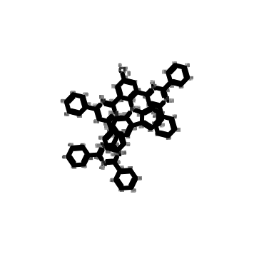 FC(F)(F)c1cc(-c2cc(-c3ccccc3)nc(-c3ccccc3)n2)c(-n2c3ccccc3c3cc(-c4nc(-c5ccccc5)nc(-c5ccccc5)n4)ccc32)c(-c2nc(-c3ccccc3)cc(-c3ccccc3)n2)c1